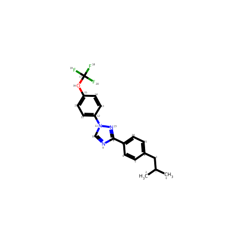 C[C](C)Cc1ccc(-c2ncn(-c3ccc(OC(F)(F)F)cc3)n2)cc1